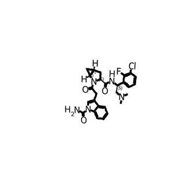 CN(C)C[C@@H](NC(=O)[C@@H]1C[C@H]2C[C@H]2N1C(=O)Cc1cn(C(N)=O)c2ccccc12)c1cccc(Cl)c1F